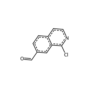 O=Cc1ccc2ccnc(Cl)c2c1